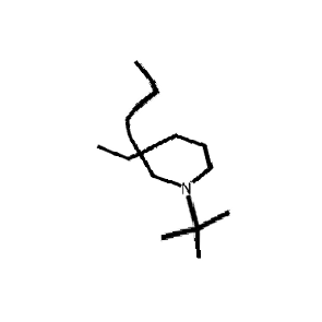 CCCC1(CC)CCCN(C(C)(C)C)C1